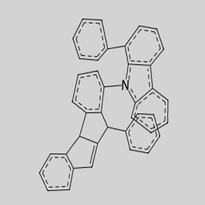 C1=C2C(c3ccccc31)c1cccc(-n3c4ccccc4c4cccc(-c5ccccc5)c43)c1C2c1ccccc1